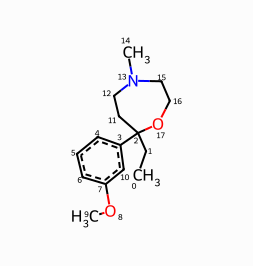 CCC1(c2cccc(OC)c2)CCN(C)CCO1